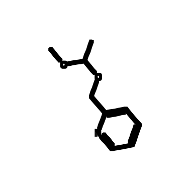 COC(C)OCc1ccccn1